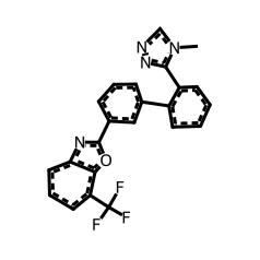 Cn1cnnc1-c1ccccc1-c1cccc(-c2nc3cccc(C(F)(F)F)c3o2)c1